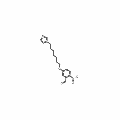 O=Cc1cc(OCCCCCCCn2ccnc2)ccc1[N+](=O)[O-]